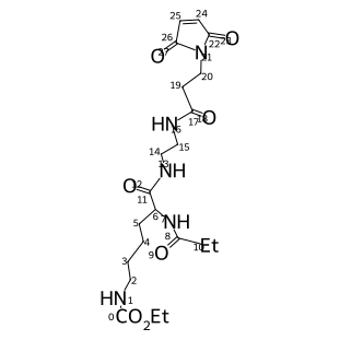 CCOC(=O)NCCCCC(NC(=O)CC)C(=O)NCCNC(=O)CCN1C(=O)C=CC1=O